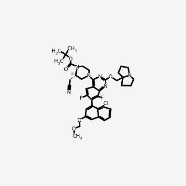 COCOc1cc(-c2c(F)cc3c(N4CCN(C(=O)OC(C)(C)C)[C@@H](CC#N)C4)nc(OCC45CCCN4CCC5)nc3c2F)c2c(Cl)cccc2c1